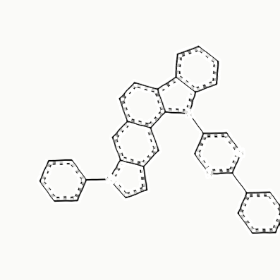 c1ccc(-c2ncc(-n3c4ccccc4c4ccc5cc6c(ccn6-c6ccccc6)cc5c43)cn2)cc1